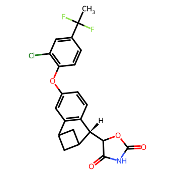 CC(F)(F)c1ccc(Oc2ccc3c(c2)C2CC(C2)[C@H]3C2OC(=O)NC2=O)c(Cl)c1